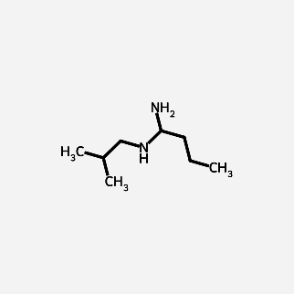 CCCC(N)NCC(C)C